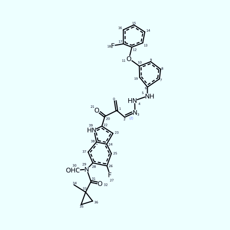 C=C(/C=N\NNc1cccc(Oc2ccccc2F)c1)C(=O)c1cc2cc(F)c(N(C=O)C(=O)C3(C)CC3)cc2[nH]1